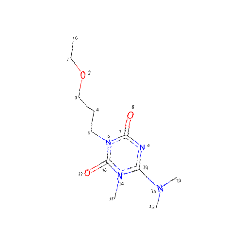 CCOCCCn1c(=O)nc(N(C)C)n(C)c1=O